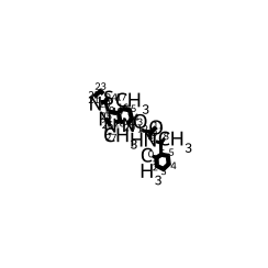 Cc1ccccc1C(C)NC(=O)COc1cc(C)c2c(-c3nccs3)nn(C)c2n1